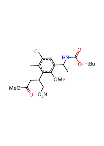 COC(=O)CC(C[N+](=O)[O-])c1c(C)c(Cl)cc(C(C)NC(=O)OC(C)(C)C)c1OC